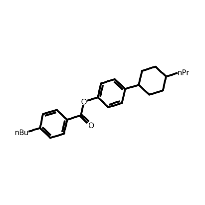 CCCCc1ccc(C(=O)Oc2ccc(C3CCC(CCC)CC3)cc2)cc1